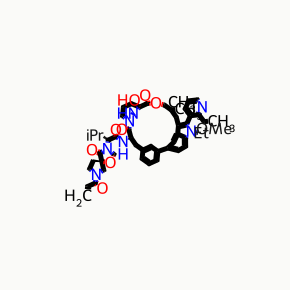 C=CC(=O)N1CC[C@]2(C1)OCN([C@H](C(=O)N[C@H]1Cc3cccc(c3)-c3ccc4c(c3)c(c(-c3cccnc3[C@H](C)OC)n4CC)CC(C)(C)COC(=O)[C@@]3(O)CCCN(N3)C1=O)C(C)C)C2=O